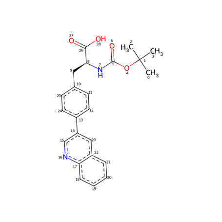 CC(C)(C)OC(=O)N[C@@H](Cc1ccc(-c2cnc3ccccc3c2)cc1)C(=O)O